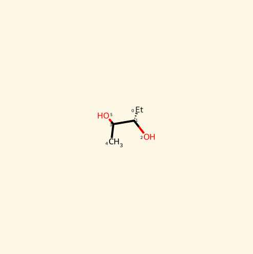 CC[C@H](O)C(C)O